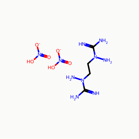 N=C(N)N(N)CCN(N)C(=N)N.O=[N+]([O-])O.O=[N+]([O-])O